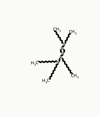 CCCCCCCCCCCCN(CCCCCCCCCCCC)CCN(CCCCCCCCCCCC)CCN1CCN(CCN(CCCCCCCC)CCCCCCCCCC)CC1